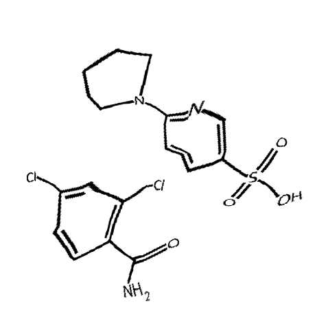 NC(=O)c1ccc(Cl)cc1Cl.O=S(=O)(O)c1ccc(N2CCCC2)nc1